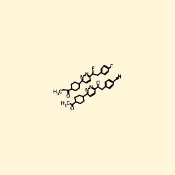 CC(=O)C1CCC(c2ccc(C(Cl)Cc3ccc(C#N)cc3)nn2)CC1.CCC(=O)C1CCC(c2ccc(C(F)Cc3ccc(F)cc3)nn2)CC1